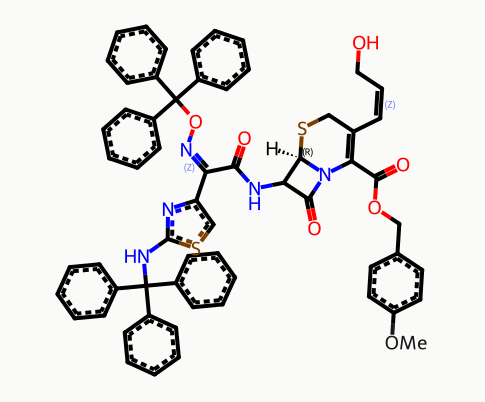 COc1ccc(COC(=O)C2=C(/C=C\CO)CS[C@@H]3C(NC(=O)/C(=N\OC(c4ccccc4)(c4ccccc4)c4ccccc4)c4csc(NC(c5ccccc5)(c5ccccc5)c5ccccc5)n4)C(=O)N23)cc1